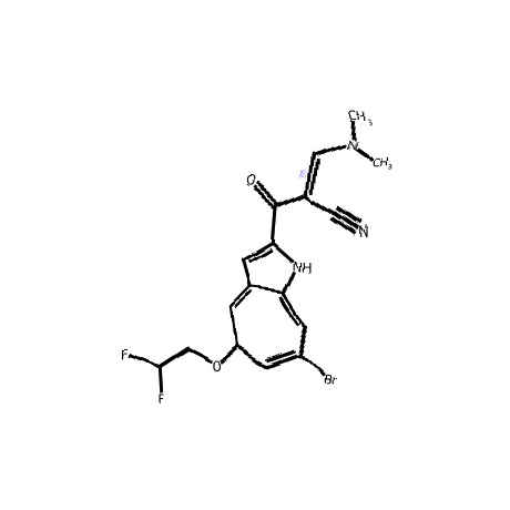 CN(C)/C=C(\C#N)C(=O)c1cc2c([nH]1)=CC(Br)=CC(OCC(F)F)C=2